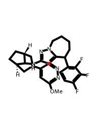 COc1cc(N2C[C@H]3CC[C@H](C2)C3Nc2nc3n(n2)CCCCC3c2ccc(F)c(F)c2F)cnn1